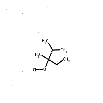 CCC(C)(OCl)C(C)C